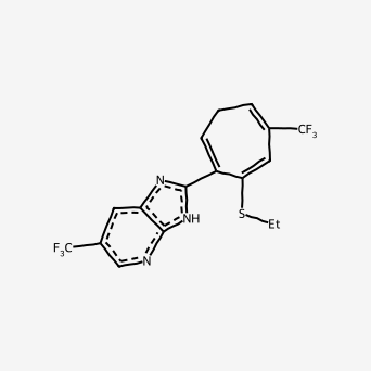 CCSC1=CC(C(F)(F)F)=CCC=C1c1nc2cc(C(F)(F)F)cnc2[nH]1